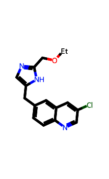 CCOCc1ncc(Cc2ccc3ncc(Cl)cc3c2)[nH]1